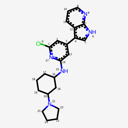 Clc1cc(-c2c[nH]c3ncccc23)cc(NC2CCCC(N3CCCC3)C2)n1